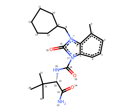 Cc1cccc2c1n(CC1CCCCC1)c(=O)n2C(=O)N[C@H](C(N)=O)C(C)(C)C